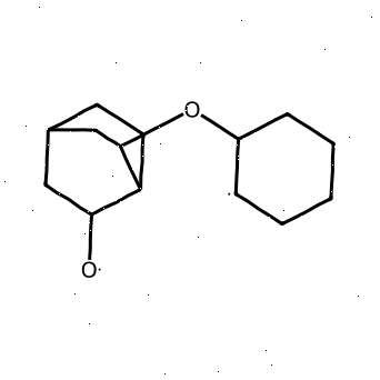 [O]C1CC2CCC1C(OC1[CH]CCCC1)C2